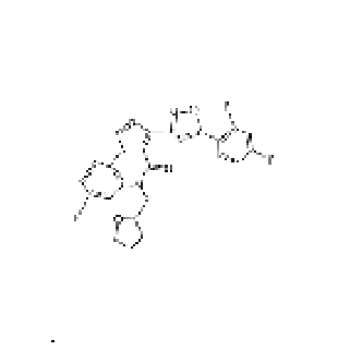 O=c1c2c(-c3noc(-c4ccc(F)cc4F)n3)ncn2c2ccc(F)cc2n1CC1CCCO1